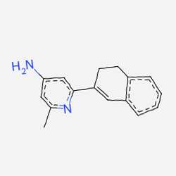 Cc1cc(N)cc(C2=Cc3ccccc3CC2)n1